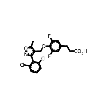 Cc1onc(-c2c(Cl)cccc2Cl)c1COc1c(F)cc(CCC(=O)O)cc1F